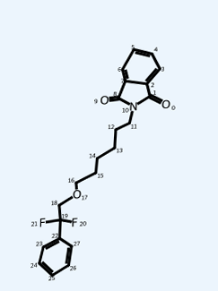 O=C1c2ccccc2C(=O)N1CCCCCCOCC(F)(F)c1ccccc1